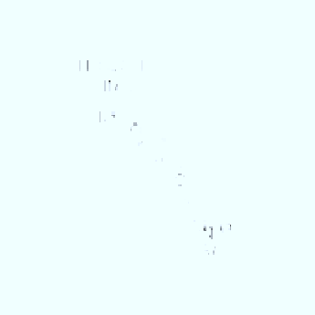 CC(C)NCC(O)COc1ccc(COCCCO[N+](=O)[O-])cc1